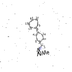 CN/N=C(\C)c1ccc(-c2ccccc2)cc1